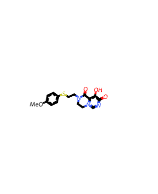 COc1ccc(SCCN2CCn3cnc(=O)c(O)c3C2=O)cc1